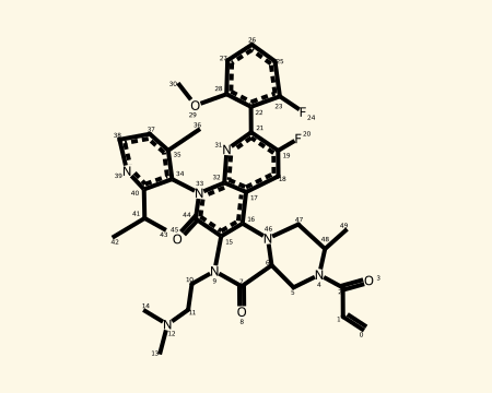 C=CC(=O)N1CC2C(=O)N(CCN(C)C)c3c(c4cc(F)c(-c5c(F)cccc5OC)nc4n(-c4c(C)ccnc4C(C)C)c3=O)N2CC1C